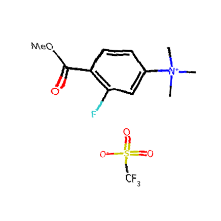 COC(=O)c1ccc([N+](C)(C)C)cc1F.O=S(=O)([O-])C(F)(F)F